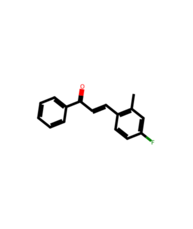 Cc1cc(F)ccc1C=CC(=O)c1ccccc1